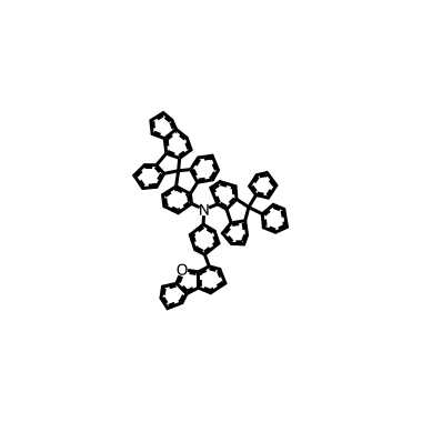 c1ccc(C2(c3ccccc3)c3ccccc3-c3c(N(c4ccc(-c5cccc6c5oc5ccccc56)cc4)c4cccc5c4-c4ccccc4C54c5ccccc5-c5c4ccc4ccccc54)cccc32)cc1